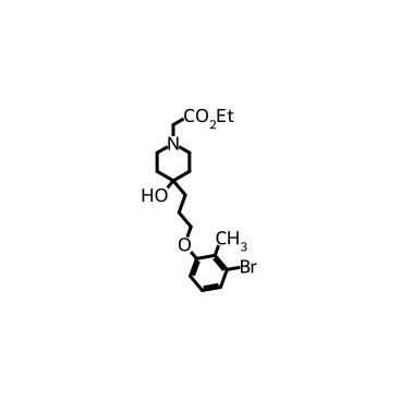 CCOC(=O)CN1CCC(O)(CCCOc2cccc(Br)c2C)CC1